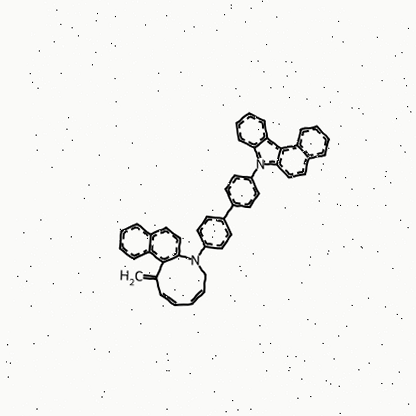 C=C1/C=C\C=C/CN(c2ccc(-c3ccc(-n4c5ccccc5c5c6ccccc6ccc54)cc3)cc2)c2ccc3ccccc3c21